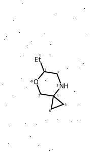 CCC1CNC2(CC2)CO1